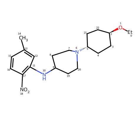 CCO[C@H]1CC[C@H](N2CCC(Nc3cc(C)ccc3[N+](=O)[O-])CC2)CC1